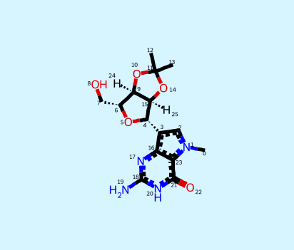 Cn1cc([C@@H]2O[C@H](CO)[C@H]3OC(C)(C)O[C@H]32)c2nc(N)[nH]c(=O)c21